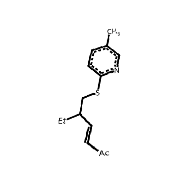 CCC(/C=C/C(C)=O)CSc1ccc(C)cn1